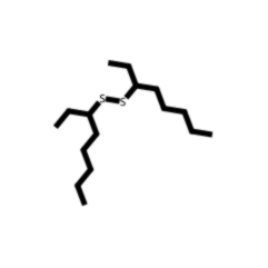 CCCCCC(CC)SSC(CC)CCCCC